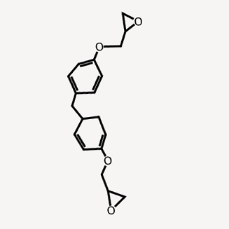 C1=CC(Cc2ccc(OCC3CO3)cc2)CC=C1OCC1CO1